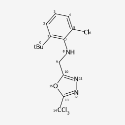 CC(C)(C)c1cccc(Cl)c1NCc1nnc(C(Cl)(Cl)Cl)o1